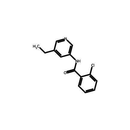 CCc1cncc(NC(=O)c2ccccc2Cl)c1